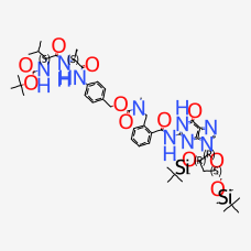 CC(C)[C@H](NC(=O)OC(C)(C)C)C(=O)N[C@@H](C)C(=O)Nc1ccc(COC(=O)N(C)Cc2ccccc2C(=O)Nc2nc3c(ncn3[C@@H]3O[C@H](CO[Si](C)(C)C(C)(C)C)C[C@H]3O[Si](C)(C)C(C)(C)C)c(=O)[nH]2)cc1